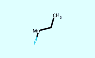 C[CH2][Mn][F]